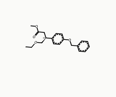 CCOC[C@@H](CC(=O)OC)c1ccc(OCc2ccccc2)cc1